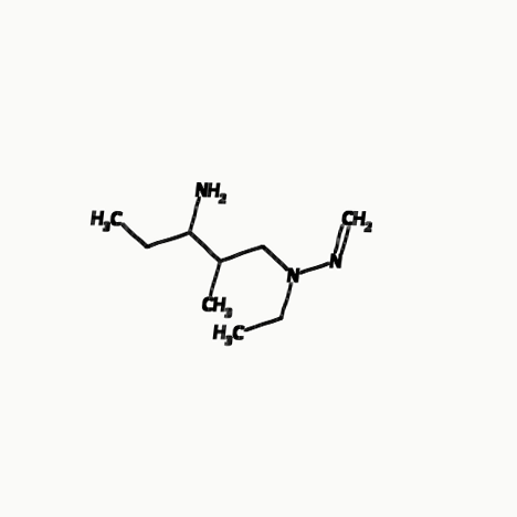 C=NN(CC)CC(C)C(N)CC